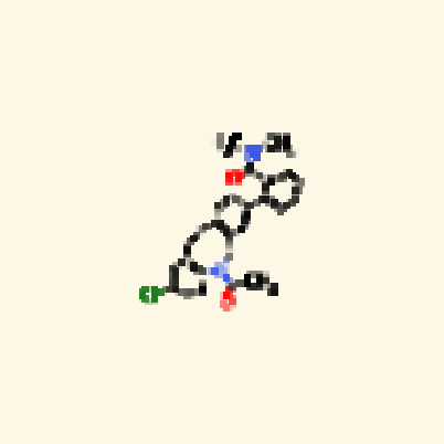 CC(=O)N1Cc2cc(-c3ccccc3C(=O)N(C)C)ccc2CCc2cc(Cl)ccc21